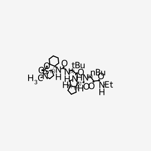 CCCC[C@H](NC(=O)[C@@H]1[C@H]2CCC[C@H]2CN1C(=O)[C@@H](NC(=O)NC1([C@@H]2CCN(C)S2(=O)=O)CCCCC1)C(C)(C)C)C(=O)C(=O)NCC